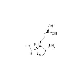 N[C@@H]1CC=CC(N)(C(=O)O)[C@H]1CCCB(O)O